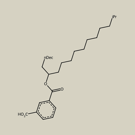 CCCCCCCCCCCC(CCCCCCCCCC(C)C)OC(=O)c1cccc(C(=O)O)c1